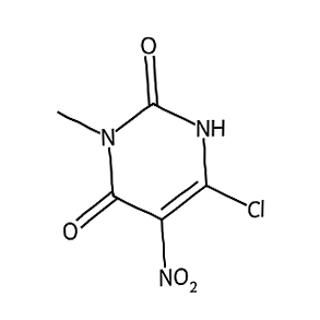 Cn1c(=O)[nH]c(Cl)c([N+](=O)[O-])c1=O